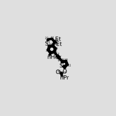 CCCCCCc1cc2c(cc1C#Cc1ccc(OC(=O)CCC)s1)C(CC)(CC)CCS2